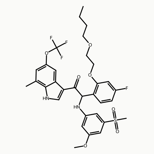 CCCCOCCOc1cc(F)ccc1C(Nc1cc(OC)cc(S(C)(=O)=O)c1)C(=O)c1c[nH]c2c(C)cc(OC(F)(F)F)cc12